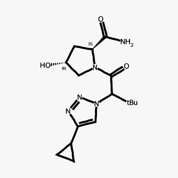 CC(C)(C)C(C(=O)N1C[C@H](O)C[C@H]1C(N)=O)n1cc(C2CC2)nn1